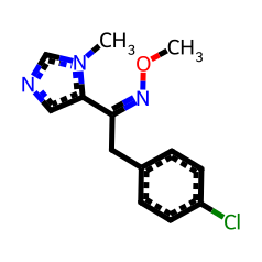 CON=C(Cc1ccc(Cl)cc1)c1cncn1C